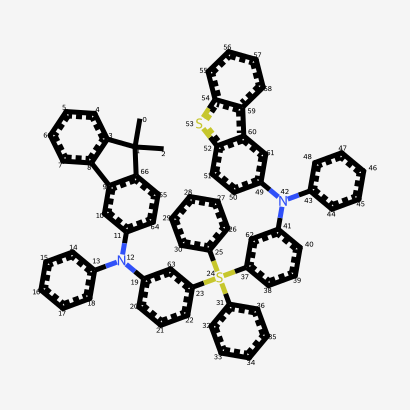 CC1(C)c2ccccc2-c2cc(N(c3ccccc3)c3cccc(S(c4ccccc4)(c4ccccc4)c4cccc(N(c5ccccc5)c5ccc6sc7ccccc7c6c5)c4)c3)ccc21